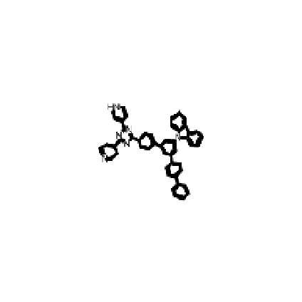 C1=CC(c2nc(C3=CC=NCC3)nc(C3C=CC(c4cc(-c5ccc(-c6ccccc6)cc5)cc(-n5c6ccccc6c6ccccc65)c4)=CC3)n2)=CCN1